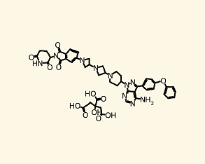 Nc1ncnc2c1c(-c1ccc(Oc3ccccc3)cc1)nn2C1CCN(C2CN(C3CN(c4ccc5c(c4)C(=O)N(C4CCC(=O)NC4=O)C5=O)C3)C2)CC1.O=C(O)CC(O)(CC(=O)O)C(=O)O